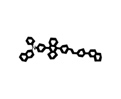 C(=C\c1ccc(-c2c3ccccc3c(-c3ccc(N(c4ccccc4)c4ccc5ccccc5c4)cc3)c3ccccc23)cc1)/c1ccc(-c2ccc3ccccc3c2)cc1